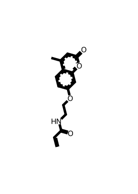 C=CC(=O)NCCOc1ccc2c(C)cc(=O)oc2c1